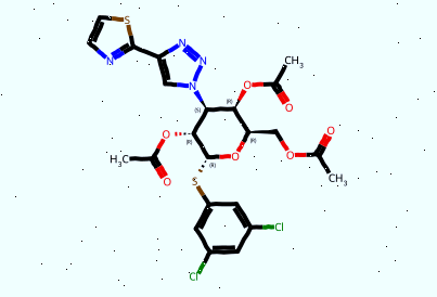 CC(=O)OC[C@H]1O[C@H](Sc2cc(Cl)cc(Cl)c2)[C@H](OC(C)=O)[C@@H](n2cc(-c3nccs3)nn2)[C@H]1OC(C)=O